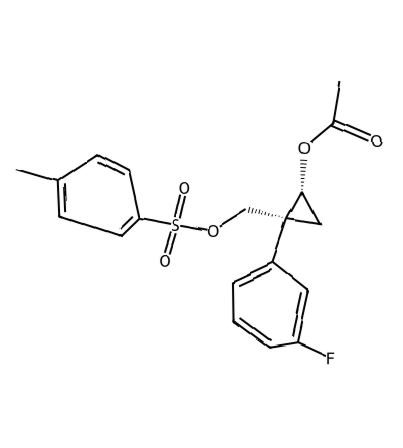 CC(=O)O[C@@H]1C[C@@]1(COS(=O)(=O)c1ccc(C)cc1)c1cccc(F)c1